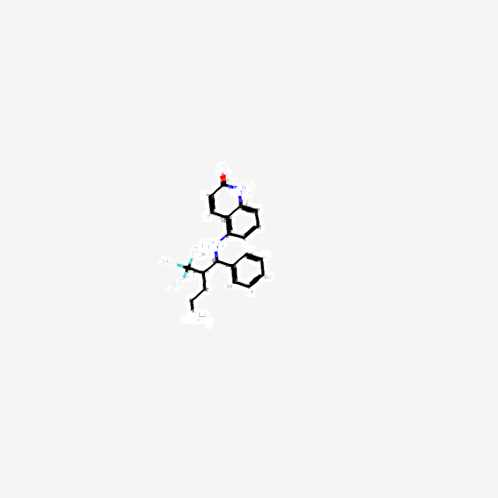 CCCC(C(Nc1cccc2[nH]c(=O)ccc12)c1ccccc1)C(F)(F)F